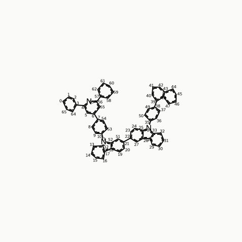 c1ccc(-c2cc(-c3ccc(-n4c5ccccc5c5ccc(-c6ccc7c(c6)c6ccccc6n7-c6ccc(-c7cccc8ccccc78)cc6)cc54)cc3)cc(-c3ccccc3)n2)cc1